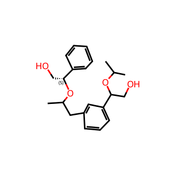 CC(C)OC(CO)c1cccc(CC(C)O[C@H](CO)c2ccccc2)c1